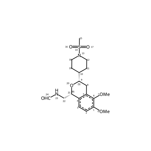 COc1ccc2c(c1OC)C[C@@H](C1CCN(S(C)(=O)=O)CC1)O[C@H]2CNC=O